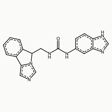 O=C(NCC1c2ccccc2-c2cncn21)Nc1ccc2[nH]cnc2c1